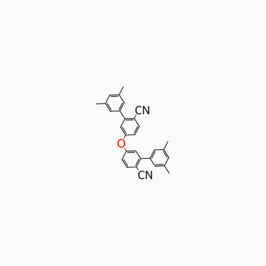 Cc1cc(C)cc(-c2cc(Oc3ccc(C#N)c(-c4cc(C)cc(C)c4)c3)ccc2C#N)c1